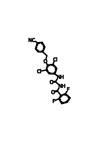 N#Cc1ccc(COc2c(Cl)cc(NC(=O)NC(=O)c3c(F)cccc3F)cc2Cl)cc1